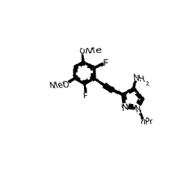 CCCn1cc(N)c(C#Cc2c(F)c(OC)cc(OC)c2F)n1